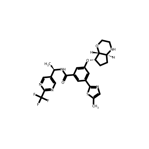 Cc1cnc(-c2cc(O[C@H]3CC[C@@H]4NCCO[C@H]43)cc(C(=O)N[C@H](C)c3cnc(C(F)(F)F)nc3)c2)s1